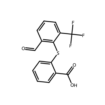 O=Cc1cccc(C(F)(F)F)c1Sc1ccccc1C(=O)O